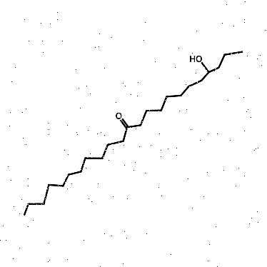 CCCCCCCCCCCC(=O)CCCCCCCC(O)CCC